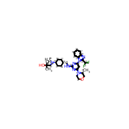 C[C@H]1COCCN1c1cc(-n2c(C(F)F)nc3ccccc32)nc(NC[C@H]2CC[C@H](N(C)CC(C)(C)O)CC2)n1